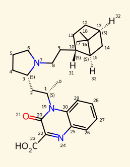 C[C@@H](C[C@@H]1CCCN1CC[C@@H]1CC[C@H]2C[C@@H]1C2(C)C)n1c(=O)c(C(=O)O)nc2ccccc21